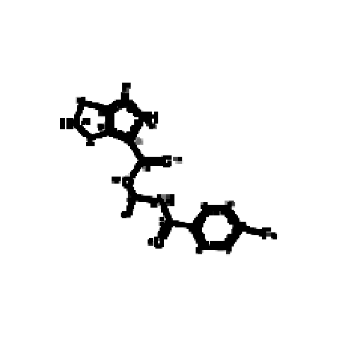 CC(NC(=O)c1ccc(F)cc1)OC(=O)c1[nH]nc2c1CNC2